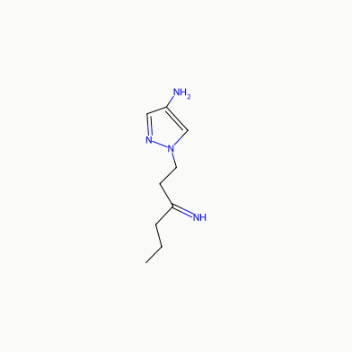 CCCC(=N)CCn1cc(N)cn1